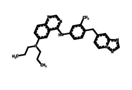 CCCN(CCC)c1ccc2ncnc(Nc3ccc(Cc4ccn5ncnc5c4)c(C)c3)c2c1